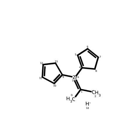 C[C](C)=[Zr+]([C]1=CC=CC1)[C]1=CC=CC1.[H-]